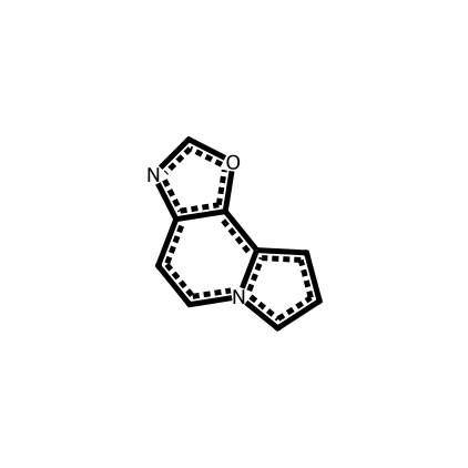 c1cc2c3ocnc3ccn2c1